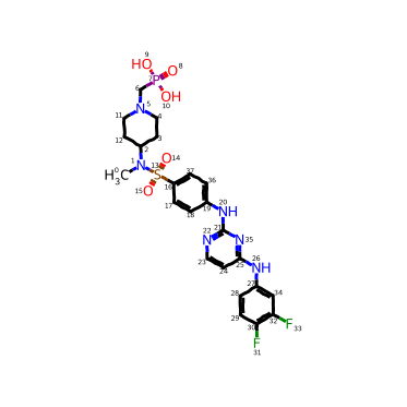 CN(C1CCN(CP(=O)(O)O)CC1)S(=O)(=O)c1ccc(Nc2nccc(Nc3ccc(F)c(F)c3)n2)cc1